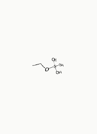 CCO[Si](O)(O)O